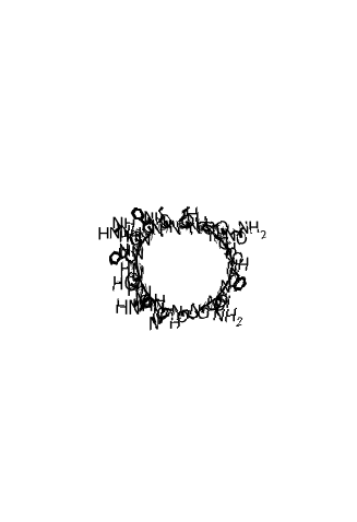 CCCC[C@H]1C(=O)N(C)[C@@H](CCCC)C(=O)N[C@H]2CC(C)N(C2=O)[C@H](C(=O)NCC(N)=O)CSCC(=O)N[C@@H](Cc2ccccc2)C(=O)N(C)[C@@H](C)C(=O)N[C@@H](CC(N)=O)C(=O)N2CCCC2C(=O)N[C@@H](Cc2cnc[nH]2)C(=O)N[C@@H](Cc2c[nH]cn2)C(=O)N[C@@H](CO)C(=O)N[C@@H](Cc2c[nH]c3ccccc23)C(=O)N[C@@H](CCCNC(=N)N)C(=O)N[C@@H](Cc2c[nH]c3ccccc23)C(=O)N1C